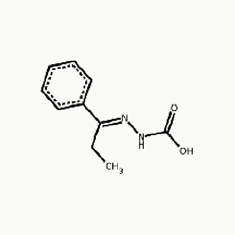 CCC(=NNC(=O)O)c1ccccc1